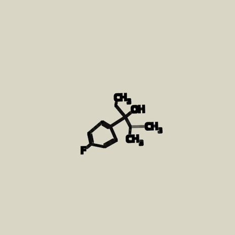 CCC(O)(c1ccc(F)cc1)C(C)C